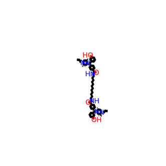 C=CCN1C[C@@H](C)N([C@H](c2ccc(C(=O)NCCCCCCCCCCCCNC(=O)c3ccc([C@H](c4cccc(O)c4)N4C[C@H](C)N(CC=C)C[C@H]4C)cc3)cc2)c2cccc(O)c2)C[C@@H]1C